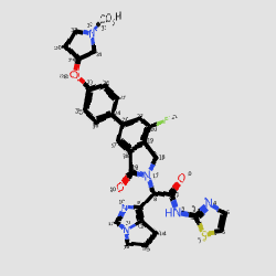 O=C(Nc1nccs1)C(c1ncn2c1CCC2)N1Cc2c(F)cc(-c3ccc(OC4CCN(C(=O)O)C4)cc3)cc2C1=O